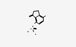 CCCSP(=O)(OCC)Oc1ccc([N+](=O)[O-])c2c1C(=O)CC2